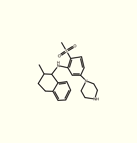 CC1CCc2ccccc2C1Nc1cc(N2CCNCC2)ccc1S(C)(=O)=O